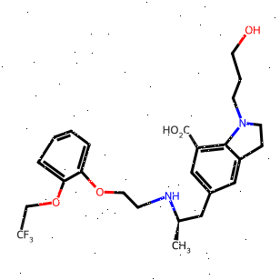 C[C@H](Cc1cc2c(c(C(=O)O)c1)N(CCCO)CC2)NCCOc1ccccc1OCC(F)(F)F